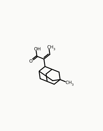 CC=C(C(=O)O)C1C2CC3CC1CC(C)(C3)C2